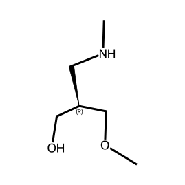 CNC[C@H](CO)COC